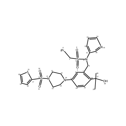 CC(C)CS(=O)(=O)N(Cc1cc(N2CCN(S(=O)(=O)c3cccs3)CC2)ccc1C(C)(C)O)c1cccnc1